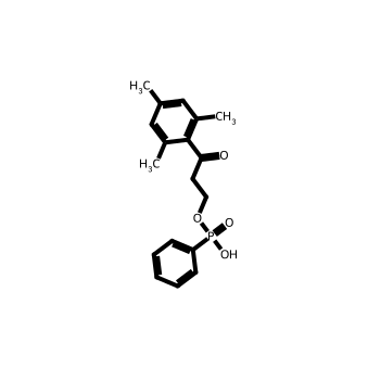 Cc1cc(C)c(C(=O)CCOP(=O)(O)c2ccccc2)c(C)c1